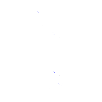 CNCC1CCN(C(=O)c2ccc(-n3ccc(=O)[nH]c3=O)cc2)CC1.Cl